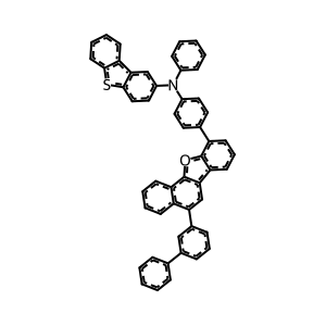 c1ccc(-c2cccc(-c3cc4c5cccc(-c6ccc(N(c7ccccc7)c7ccc8sc9ccccc9c8c7)cc6)c5oc4c4ccccc34)c2)cc1